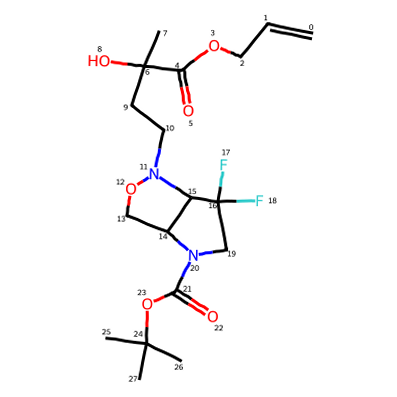 C=CCOC(=O)C(C)(O)CCN1OCC2C1C(F)(F)CN2C(=O)OC(C)(C)C